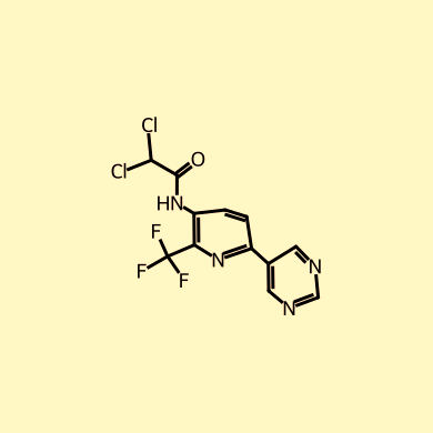 O=C(Nc1ccc(-c2cncnc2)nc1C(F)(F)F)C(Cl)Cl